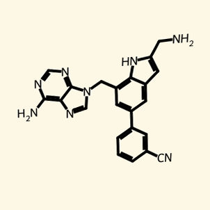 N#Cc1cccc(-c2cc(Cn3cnc4c(N)ncnc43)c3[nH]c(CN)cc3c2)c1